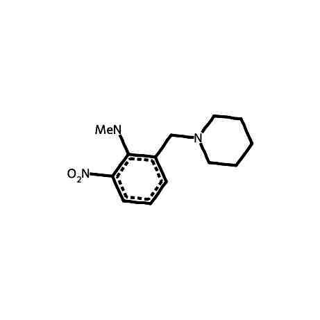 CNc1c(CN2CCCCC2)cccc1[N+](=O)[O-]